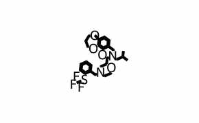 CC(C)CN(Cc1ccc2c(c1)OCCCO2)C(=O)C1CN(Cc2ccccc2SC(F)(F)F)CCO1